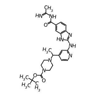 CC(=N)NC(=O)c1ccc2nc(Nc3cc(C(C)N4CCN(C(=O)OC(C)(C)C)CC4)ccn3)[nH]c2c1